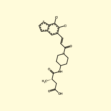 C[C@@H](CC(=O)O)C(=O)NC1CCN(C(=O)C=Cc2cc3ccsc3c(Cl)c2Cl)CC1